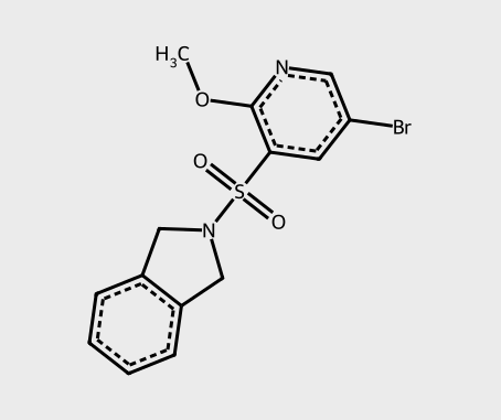 COc1ncc(Br)cc1S(=O)(=O)N1Cc2ccccc2C1